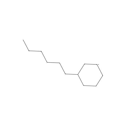 CCCCCCC1C[CH]CCC1